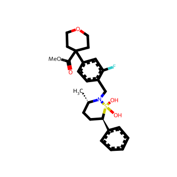 COC(=O)C1(c2ccc(CN3[C@@H](C)CC[C@H](c4ccccc4)S3(O)O)c(F)c2)CCOCC1